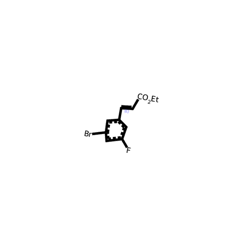 CCOC(=O)/C=C/c1cc(F)cc(Br)c1